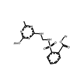 COc1nc(C)nc(NCNS(=O)(=O)c2ccccc2C(=O)OC(C)C)n1